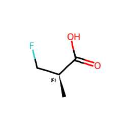 C[C@@H](CF)C(=O)O